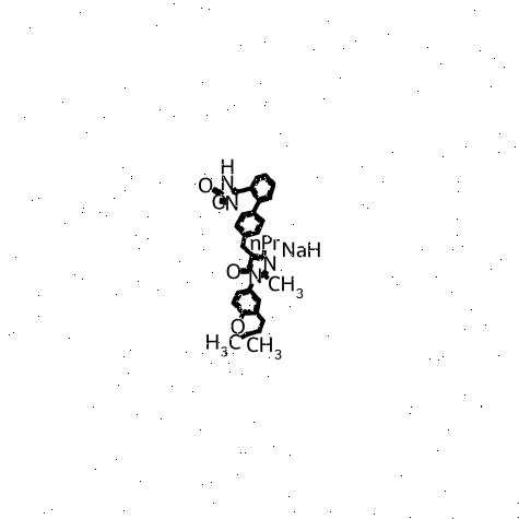 CCCc1nc(C)n(-c2ccc3c(c2)CCC(C)(C)O3)c(=O)c1Cc1ccc(-c2ccccc2-c2noc(=O)[nH]2)cc1.[NaH]